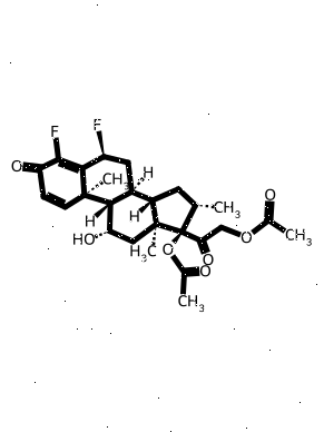 CC(=O)OCC(=O)[C@@]1(OC(C)=O)[C@@H](C)C[C@H]2[C@@H]3C[C@H](F)C4=C(F)C(=O)C=C[C@]4(C)[C@H]3[C@@H](O)C[C@@]21C